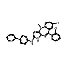 CN1C(=O)C(NC(=S)Nc2ccc(-c3ccccc3)cc2)N=C(c2ccccc2Cl)c2cc(Cl)ccc21